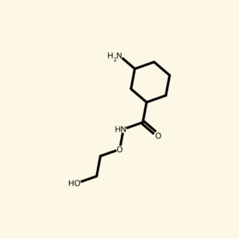 NC1CCCC(C(=O)NOCCO)C1